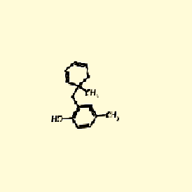 Cc1ccc(O)c(CC2(C)C=CC=CC2)c1